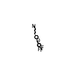 N#CC=CC=C[C@H]1CC[C@H](OCc2ccc(C(F)(F)F)cc2)CC1